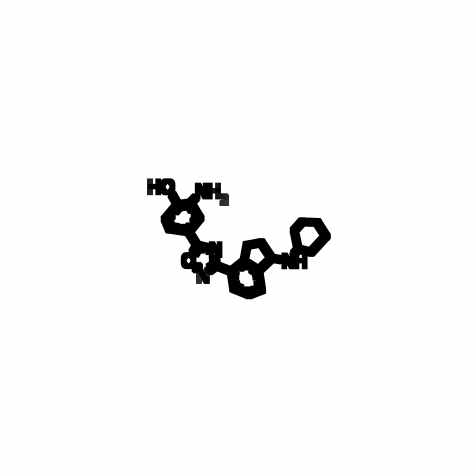 Nc1cc(-c2nc(-c3cccc4c3CCC4NC3CCCCC3)no2)ccc1O